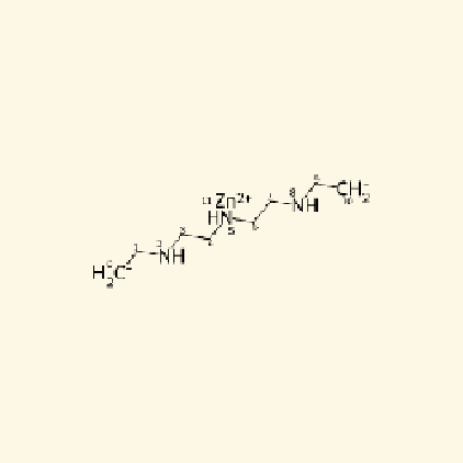 [CH2-]CNCCNCCNC[CH2-].[Zn+2]